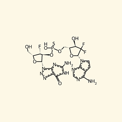 Nc1nc2c(nnn2[C@@H]2O[C@H](CO)[C@H](F)[C@H]2OP(O)(=S)OC[C@H]2O[C@@H](n3ccc4c(N)ncnc43)C(F)(F)[C@@H]2O)c(=O)[nH]1